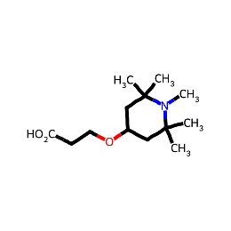 CN1C(C)(C)CC(OCCC(=O)O)CC1(C)C